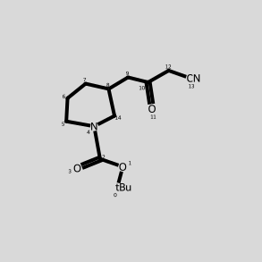 CC(C)(C)OC(=O)N1CCCC(CC(=O)CC#N)C1